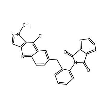 Cn1ncc2nc3ccc(Cc4ccccc4N4C(=O)c5ccccc5C4=O)cc3c(Cl)c21